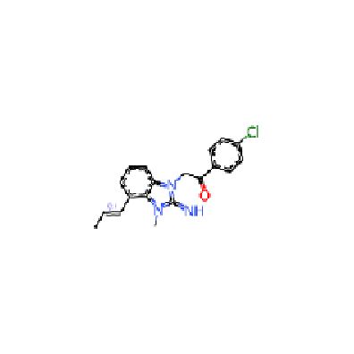 C/C=C/c1cccc2c1n(C)c(=N)n2CC(=O)c1ccc(Cl)cc1